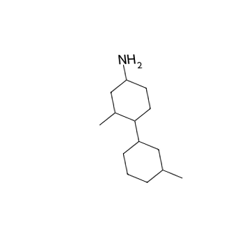 CC1CCCC(C2CCC(N)CC2C)C1